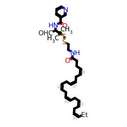 CC/C=C\C/C=C\C/C=C\C/C=C\C/C=C\C/C=C\CCC(=O)NCCSSC(C)(C)C(C=O)NC(=O)c1cccnc1